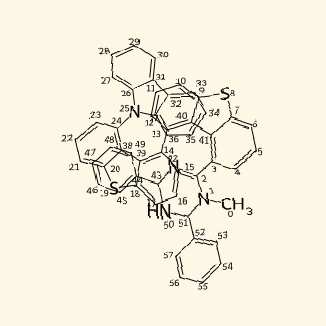 CN1C(c2cccc3sc4cccc(-c5cccc6sc7cccc(-n8c9ccccc9c9ccccc98)c7c56)c4c23)=NC(c2ccccc2)NC1c1ccccc1